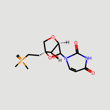 C=P(C)(C)CC[C@@]12CO[C@@H](C(n3ccc(=O)[nH]c3=O)O1)[C@@H]2O